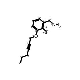 CCCC#CCOc1cccc(CN)c1F